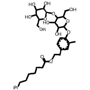 Cc1cc(CCOC(=O)CCCCCCC(C)C)ccc1OC1OC(CO)C(OC2OC(CO)C(O)C(O)C2O)C(O)C1O